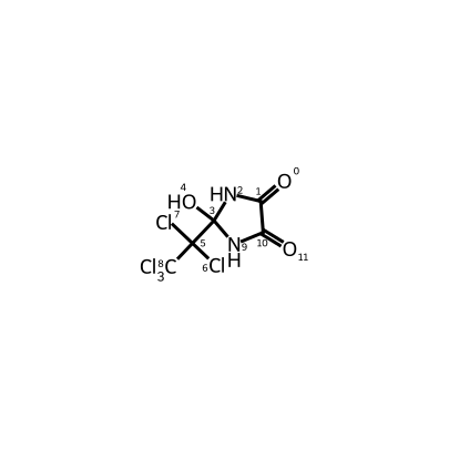 O=C1NC(O)(C(Cl)(Cl)C(Cl)(Cl)Cl)NC1=O